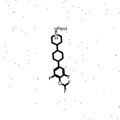 CCCCC[SiH]1CCC(C2CCC(c3cc(F)c(OC(F)F)c(F)c3)CC2)CC1